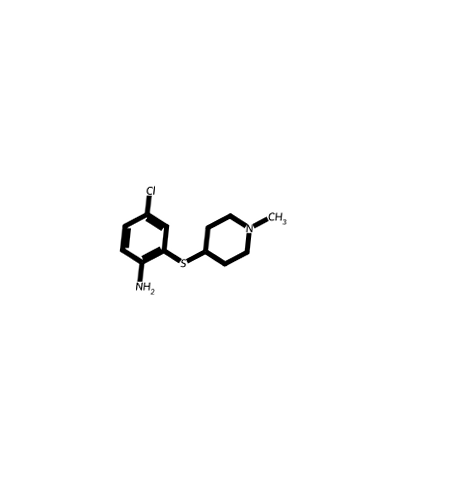 CN1CCC(Sc2cc(Cl)ccc2N)CC1